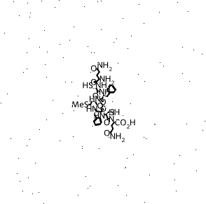 CSCC[C@H](NC(=O)[C@H](Cc1ccccc1)NC(=O)[C@H](CS)NC(=O)[C@@H](N)CCC(N)=O)C(=O)N[C@@H](Cc1ccccc1)C(=O)N[C@@H](CS)C(=O)N[C@@H](CCC(N)=O)C(=O)O